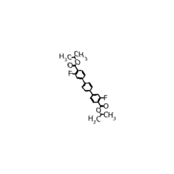 CC(C)OC(=O)c1ccc(-c2ccc(-c3ccc(C(=O)OC(C)C)c(F)c3)cc2)cc1F